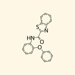 O=C(Nc1ccccc1Oc1ccccc1)c1nc2ccccc2s1